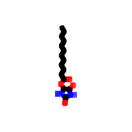 CCCCCCCCCCCC(=O)OC1NC(=O)NC1=O